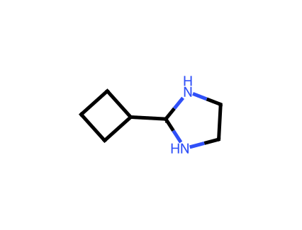 C1CC([C]2NCCN2)C1